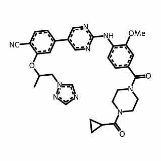 COc1cc(C(=O)N2CCN(C(=O)C3CC3)CC2)ccc1Nc1ncc(-c2ccc(C#N)c(OC(C)Cn3cncn3)c2)cn1